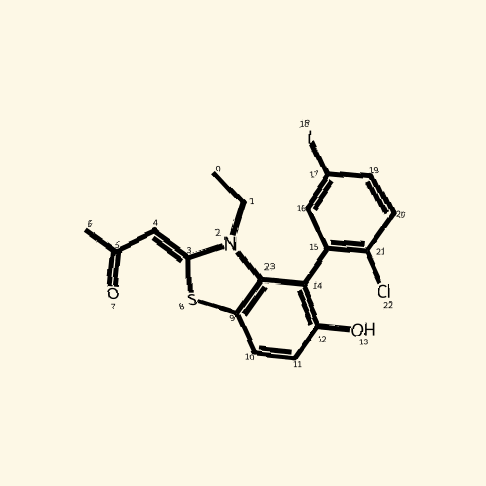 CCN1/C(=C/C(C)=O)Sc2ccc(O)c(-c3cc(I)ccc3Cl)c21